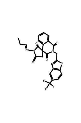 CCC=NN1C(=O)CC2(C(=O)N(Cc3nc4cc(C(F)(F)F)ccc4s3)C(=O)c3ccccc32)C1=O